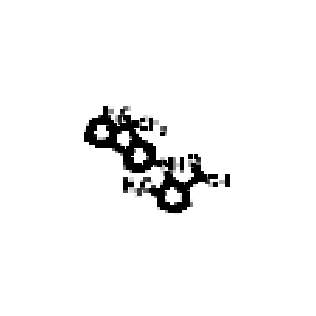 Cc1cccc(C(=O)O)c1Nc1ccc2c(c1)C(C)(C)c1ccccc1-2